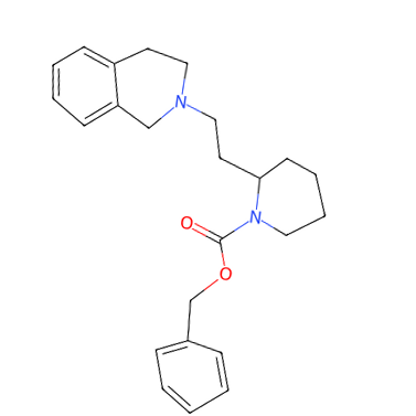 O=C(OCc1ccccc1)N1CCCCC1CCN1CCc2ccccc2C1